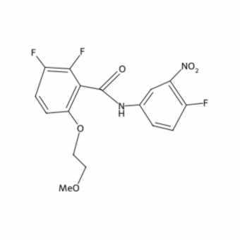 COCCOc1ccc(F)c(F)c1C(=O)Nc1ccc(F)c([N+](=O)[O-])c1